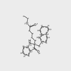 CCOC(=O)CCCCC1(Cc2ccc3ccccc3n2)Nc2ccccc2C1=O